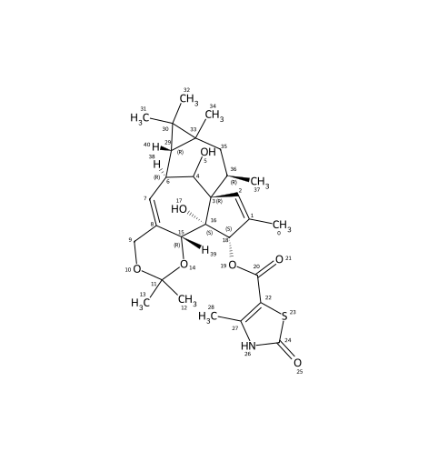 CC1=C[C@]23C(O)[C@@H](C=C4COC(C)(C)O[C@H]4[C@]2(O)[C@H]1OC(=O)c1sc(=O)[nH]c1C)[C@@H]1C(C)(C)C1(C)C[C@H]3C